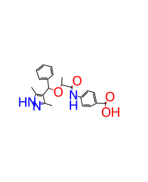 Cc1n[nH]c(C)c1C(OC(C)C(=O)Nc1ccc(C(=O)O)cc1)c1ccccc1